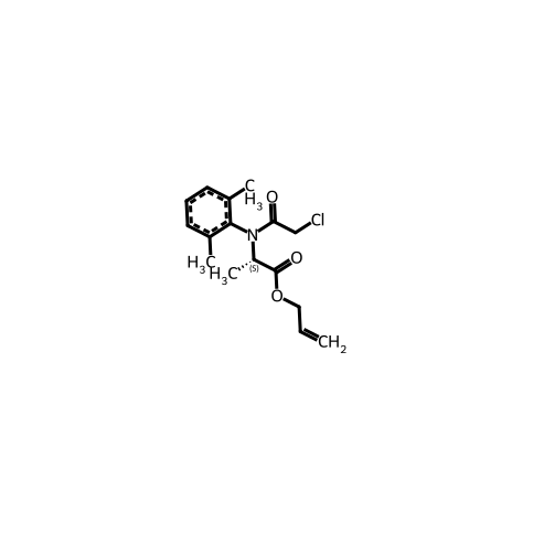 C=CCOC(=O)[C@H](C)N(C(=O)CCl)c1c(C)cccc1C